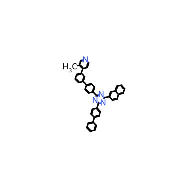 Cc1cnccc1-c1cccc(-c2ccc(-c3nc(-c4ccc(-c5ccccc5)cc4)nc(-c4ccc5ccccc5c4)n3)cc2)c1